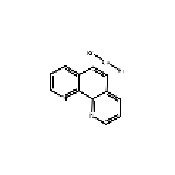 [Br][Cu][Br].c1cnc2c(c1)ccc1cccnc12